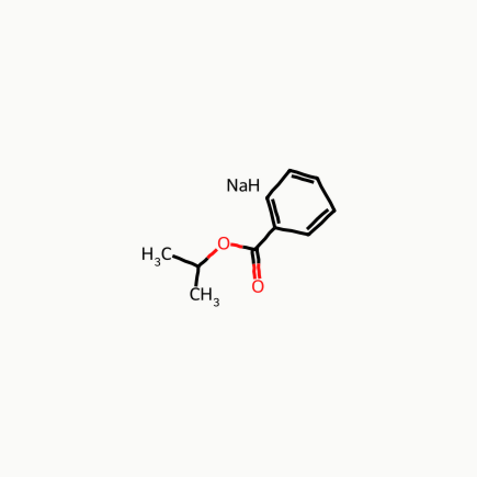 CC(C)OC(=O)c1ccccc1.[NaH]